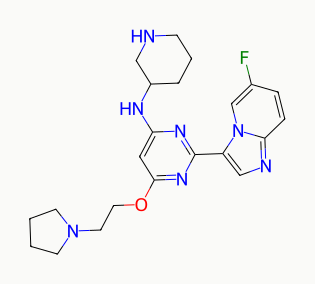 Fc1ccc2ncc(-c3nc(NC4CCCNC4)cc(OCCN4CCCC4)n3)n2c1